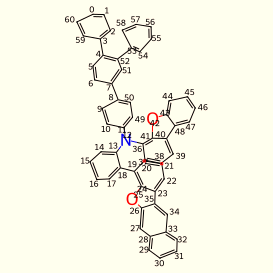 c1ccc(-c2ccc(-c3ccc(N(c4ccccc4-c4cccc5c4oc4cc6ccccc6cc45)c4cccc5c4oc4ccccc45)cc3)cc2-c2ccccc2)cc1